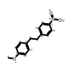 COc1ccc([CH]Cc2ccc([N+](=O)[O-])cc2)cc1